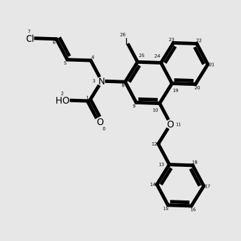 O=C(O)N(CC=CCl)c1cc(OCc2ccccc2)c2ccccc2c1I